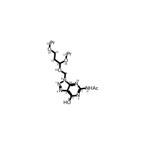 CC(=O)Nc1nc(O)c2nnn(COC(CCOC(C)C)OC(C)C)c2n1